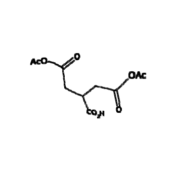 CC(=O)OC(=O)CC(CC(=O)OC(C)=O)C(=O)O